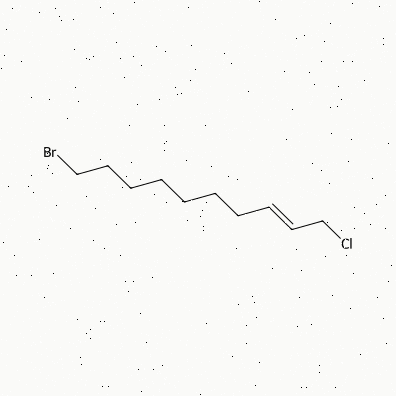 ClCC=CCCCCCCCBr